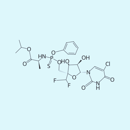 CC(C)OC(=O)[C@H](C)NP(=S)(OC[C@@]1(C(F)F)O[C@@H](n2cc(Cl)c(=O)[nH]c2=O)[C@H](O)[C@@H]1O)Oc1ccccc1